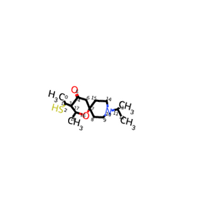 CC(S)C1C(=O)CC2(CCN(C(C)C)CC2)OC1C